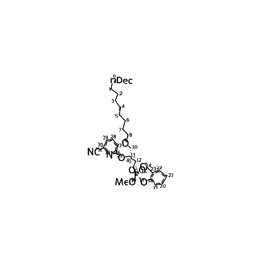 CCCCCCCCCCCCCCCCCCOC[C@H](COP(=O)(OC)Oc1ccccc1Cl)Oc1cccc(C#N)n1